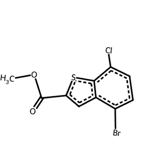 COC(=O)c1cc2c(Br)ccc(Cl)c2s1